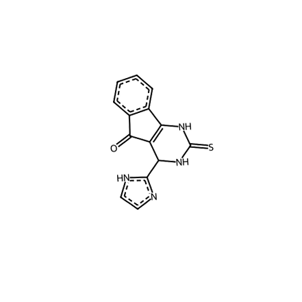 O=C1C2=C(NC(=S)NC2c2ncc[nH]2)c2ccccc21